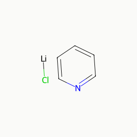 [Li][Cl].c1ccncc1